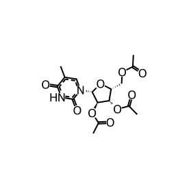 CC(=O)OC[C@H]1O[C@@H](n2cc(C)c(=O)[nH]c2=O)[C@H](OC(C)=O)[C@H]1OC(C)=O